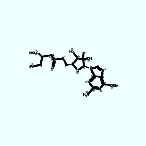 CCOC(=O)[C@H](CC(C)C)N[PH](=O)OC[C@H]1O[C@@H](n2cnc3c(OC)nc(N)nc32)C(C)(O)C1O